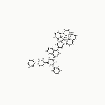 c1ccc(-c2ccc(-c3cc(-c4ccccc4)nc(-c4ccc(-c5ccc6c(c5)-c5ccc7ccccc7c5C6(c5ccccc5)c5ccccc5)c5ccccc45)n3)cc2)cc1